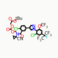 CC(C)(C)OC(=O)COC(=O)OCN(C(=O)c1cc(-c2cnn(-c3c(Cl)cc(C(F)(C(F)(F)F)C(F)(F)F)cc3OC(F)(F)F)c2)ccc1Cl)C1(C#N)CC1